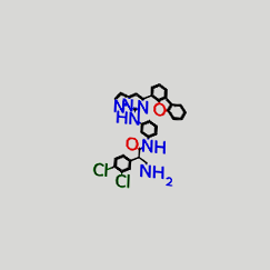 NCC(C(=O)Nc1cccc(Nc2nc(-c3cccc4c3oc3ccccc34)cc3ccnn23)c1)c1ccc(Cl)c(Cl)c1